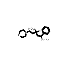 CC(=O)N[C@@H](CC(S)(CCN1CCOCC1)C(=O)O)c1ccccc1